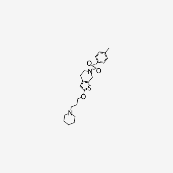 Cc1ccc(S(=O)(=O)N2CCc3cc(OCCCN4CCCCC4)sc3C2)cc1